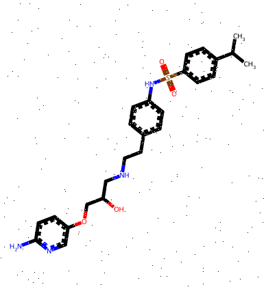 CC(C)c1ccc(S(=O)(=O)Nc2ccc(CCNCC(O)COc3ccc(N)nc3)cc2)cc1